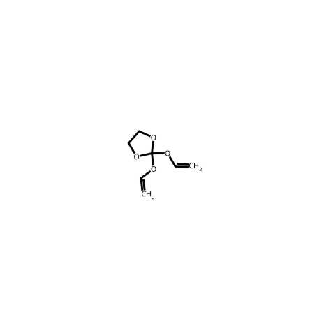 C=COC1(OC=C)OCCO1